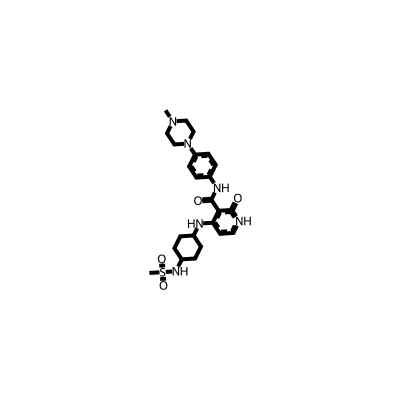 CN1CCN(c2ccc(NC(=O)c3c(NC4CCC(NS(C)(=O)=O)CC4)cc[nH]c3=O)cc2)CC1